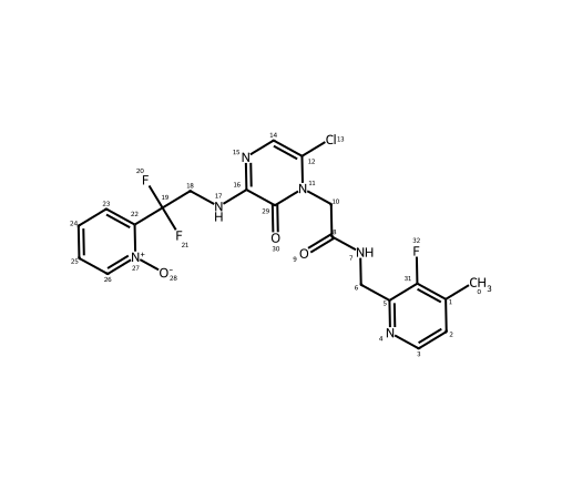 Cc1ccnc(CNC(=O)Cn2c(Cl)cnc(NCC(F)(F)c3cccc[n+]3[O-])c2=O)c1F